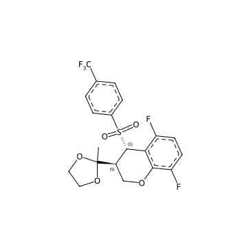 CC1([C@@H]2COc3c(F)ccc(F)c3[C@H]2S(=O)(=O)c2ccc(C(F)(F)F)cc2)OCCO1